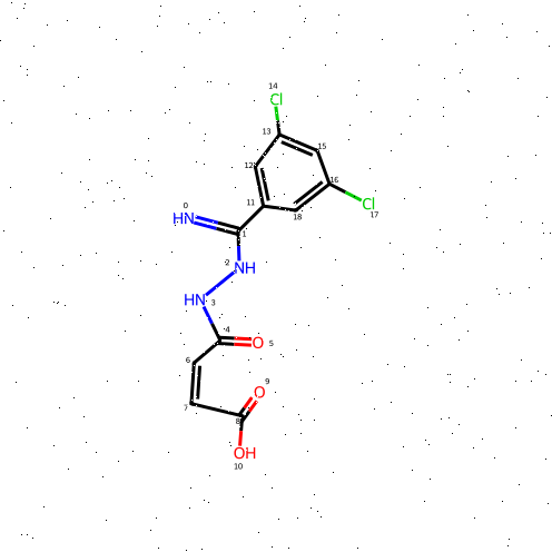 N=C(NNC(=O)/C=C\C(=O)O)c1cc(Cl)cc(Cl)c1